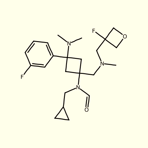 CN(CC1(F)COC1)CC1(N(C=O)CC2CC2)CC(c2cccc(F)c2)(N(C)C)C1